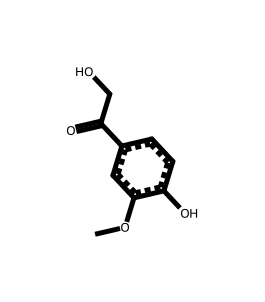 COc1cc(C(=O)CO)ccc1O